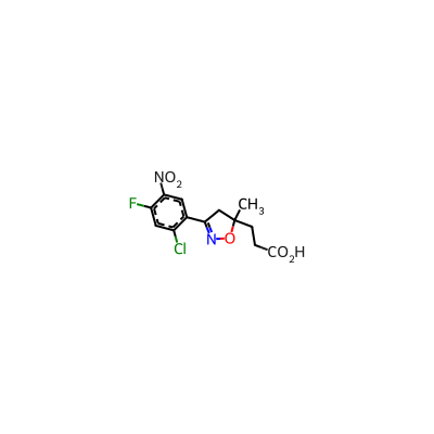 CC1(CCC(=O)O)CC(c2cc([N+](=O)[O-])c(F)cc2Cl)=NO1